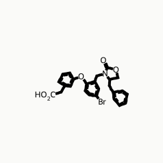 O=C(O)Cc1cccc(Oc2ccc(Br)cc2CN2C(=O)OCC2Cc2ccccc2)c1